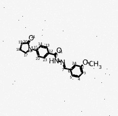 COc1cccc(/C=N/NC(=O)c2ccc(N3CCCC3=O)cc2)c1